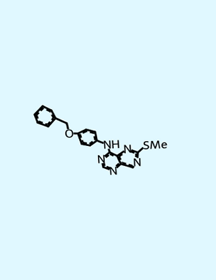 CSc1ncc2ncnc(Nc3ccc(OCc4ccccc4)cc3)c2n1